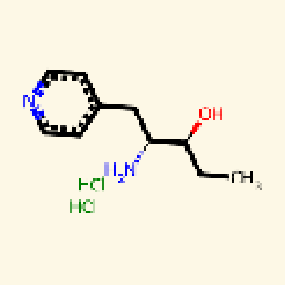 CC[C@H](O)[C@H](N)Cc1ccncc1.Cl.Cl